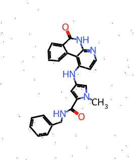 Cn1cc(Nc2ccnc3[nH]c(=O)c4ccccc4c23)cc1C(=O)NCc1ccccc1